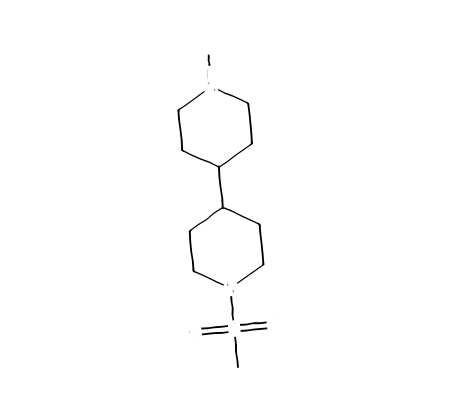 [CH2-][NH+]1CCC(C2CCN(S(C)(=O)=O)CC2)CC1